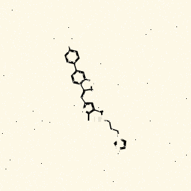 COc1ccc(-c2ccc3c(c2)NC(=O)/C3=C\c2cc(C(=O)NCCCn3ccnc3)c(C)[se]2)cc1